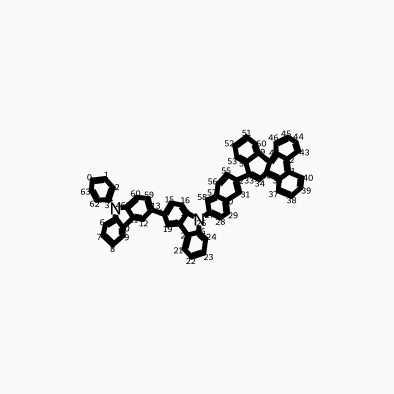 c1ccc(-n2c3ccccc3c3cc(-c4ccc5c(c4)c4ccccc4n5-c4ccc5cc(-c6cc7c8ccccc8c8ccccc8c7c7ccccc67)ccc5c4)ccc32)cc1